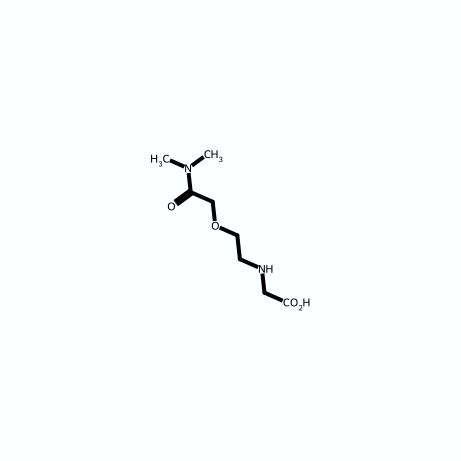 CN(C)C(=O)COCCNCC(=O)O